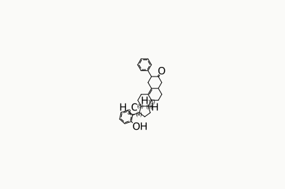 C[C@]12CCC3=C4CC(c5ccccc5)C(=O)CC4CC[C@H]3[C@@H]1CC[C@H]2c1ccccc1O